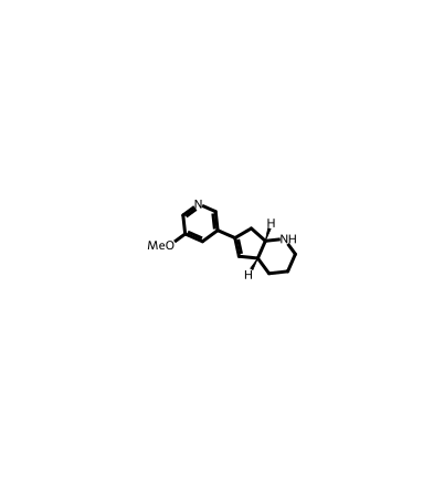 COc1cncc(C2=C[C@H]3CCCN[C@H]3C2)c1